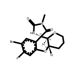 CN1C(=O)N[C@@]2(C1=O)c1cc(Br)c(F)cc1O[C@H]1CCCO[C@@H]12